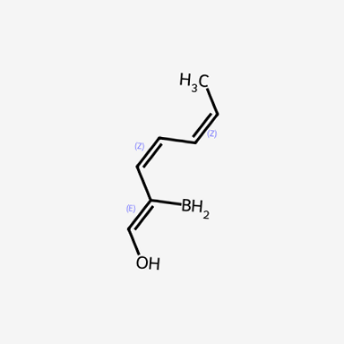 BC(/C=C\C=C/C)=C\O